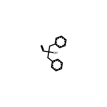 C=CC(O)(Cc1ccccc1)Cc1ccccc1